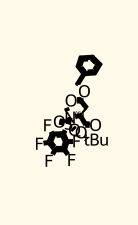 CN([C@@H](CC(=O)OCc1ccccc1)C(=O)OC(C)(C)C)S(=O)(=O)c1c(F)c(F)c(F)c(F)c1F